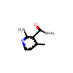 CC(=O)NC(=O)c1c(C)ccnc1[N+](=O)[O-]